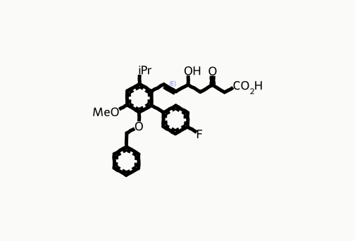 COc1cc(C(C)C)c(/C=C/C(O)CC(=O)CC(=O)O)c(-c2ccc(F)cc2)c1OCc1ccccc1